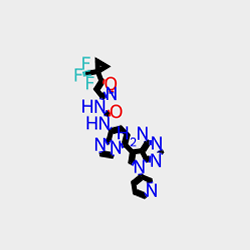 Nc1ncnc2c1c(-c1ccc(NC(=O)Nc3cc(C4(C(F)(F)F)CC4)on3)c3nccn13)cn2-c1cccnc1